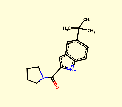 CC(C)(C)c1ccc2[nH]c(C(=O)N3CCCC3)cc2c1